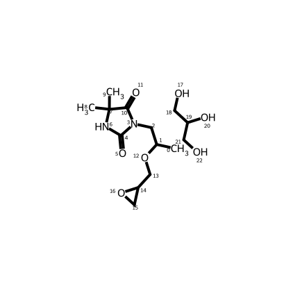 CC(CN1C(=O)NC(C)(C)C1=O)OCC1CO1.OCC(O)CO